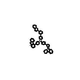 C1=Cc2c(c3ccccc3n2-c2cccc(-c3ccc(N(c4ccc(-c5cccc(-c6ccc7ccccc7c6)c5)cc4)c4ccc(-c5cccc6sc7ccccc7c56)cc4)cc3)c2)CC1